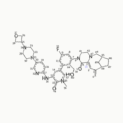 C=C1/C=C2/C(=O)N(c3cc(F)cc(-c4cc(Nc5ccc(N6CCN(C7COC7)CC6)cn5)c(=O)n(C)c4)c3CO)CCN2CC2CCC1C2